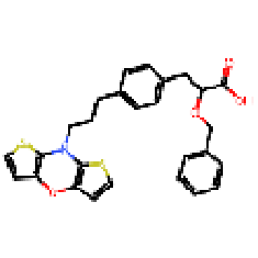 O=C(O)C(Cc1ccc(CCCN2c3sccc3Oc3ccsc32)cc1)OCc1ccccc1